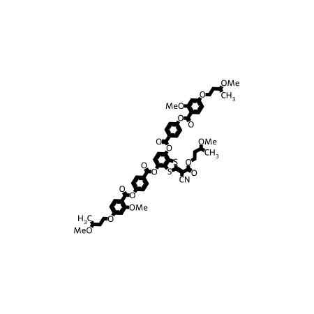 COc1cc(OCCC(C)OC)ccc1C(=O)Oc1ccc(C(=O)Oc2ccc(OC(=O)c3ccc(OC(=O)c4ccc(OCCC(C)OC)cc4OC)cc3)c3c2SC(=C(C#N)C(=O)OCCC(C)OC)S3)cc1